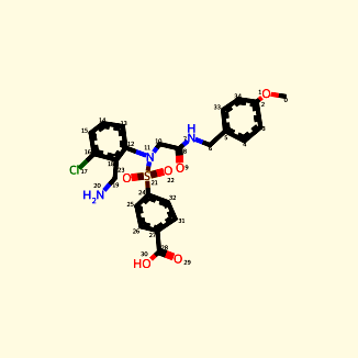 COc1ccc(CNC(=O)CN(c2cccc(Cl)c2CN)S(=O)(=O)c2ccc(C(=O)O)cc2)cc1